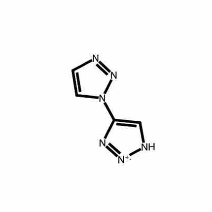 C1=C(n2ccnn2)N=[N+]N1